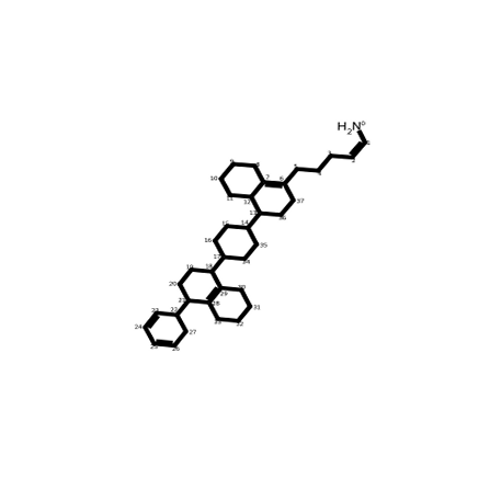 N/C=C\CCCC1=C2CCCCC2C(C2CCC(C3CCC(C4C=CC=CC4)C4=C3CCCC4)CC2)CC1